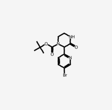 CC(C)(C)OC(=O)N1CCNC(=O)C1c1ccc(Br)cn1